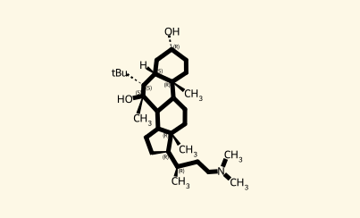 C[C@H](CCN(C)C)[C@H]1CCC2C3C(CC[C@@]21C)[C@@]1(C)CC[C@@H](O)C[C@H]1[C@@H](C(C)(C)C)[C@@]3(C)O